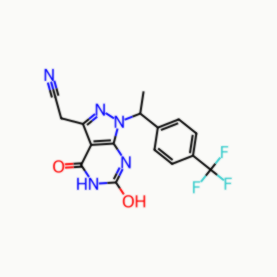 CC(c1ccc(C(F)(F)F)cc1)n1nc(CC#N)c2c(=O)[nH]c(O)nc21